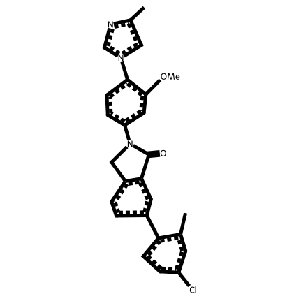 COc1cc(N2Cc3ccc(-c4ccc(Cl)cc4C)cc3C2=O)ccc1-n1cnc(C)c1